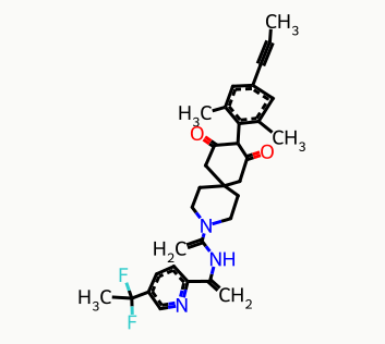 C=C(NC(=C)N1CCC2(CC1)CC(=O)C(c1c(C)cc(C#CC)cc1C)C(=O)C2)c1ccc(C(C)(F)F)cn1